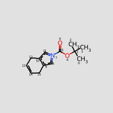 CC(C)(C)OC(=O)n1cc2c(c1)CC=CC2